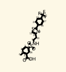 Cc1ccc(S(=O)(=O)NCCc2csc(-c3ccc(C(F)(F)F)cc3)n2)cc1C(=O)O